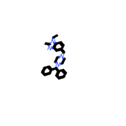 CCn1c(C)nc2cc(CN3CCN(C(c4ccccc4)c4ccccc4)CC3)ccc21